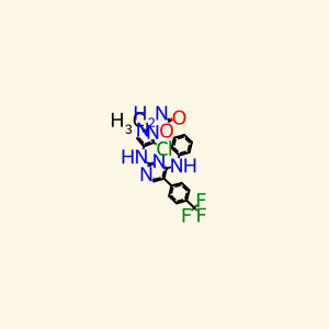 Cn1cc(Nc2ncc(-c3ccc(C(F)(F)F)cc3)c(Nc3cccc(OC(N)=O)c3)n2)c(Cl)n1